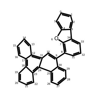 c1ccc2c(c1)oc1c(-c3cc4c5ccccc5c5ccccc5c4c4ccccc34)cccc12